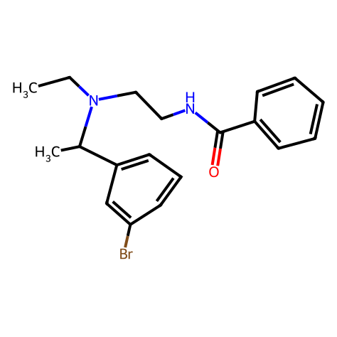 CCN(CCNC(=O)c1ccccc1)C(C)c1cccc(Br)c1